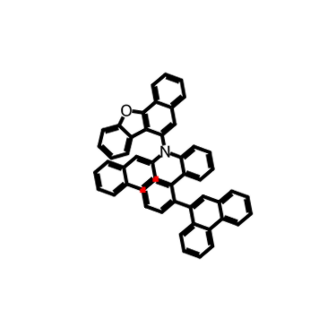 c1ccc(-c2cc3ccccc3c3ccccc23)c(-c2ccccc2N(c2ccc3ccccc3c2)c2cc3ccccc3c3oc4ccccc4c23)c1